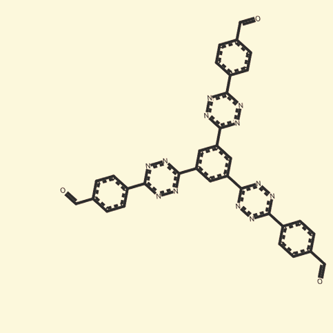 O=Cc1ccc(-c2nnc(-c3cc(-c4nnc(-c5ccc(C=O)cc5)nn4)cc(-c4nnc(-c5ccc(C=O)cc5)nn4)c3)nn2)cc1